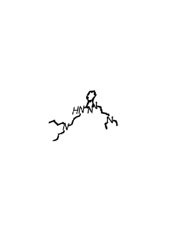 CCCCN(CCCC)CCCNc1nn(CCCN(CC)CC)c2ccccc12